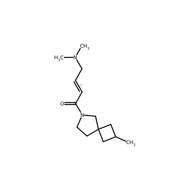 CC1CC2(CCN(C(=O)/C=C/CN(C)C)C2)C1